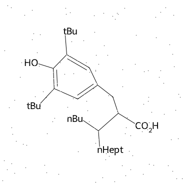 CCCCCCCC(CCCC)C(Cc1cc(C(C)(C)C)c(O)c(C(C)(C)C)c1)C(=O)O